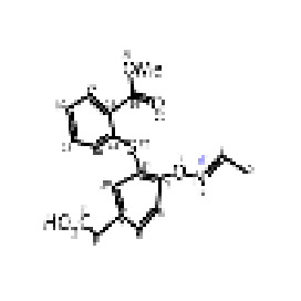 C/C=N/Oc1ccc(CC(=O)O)cc1Sc1ccccc1C(=O)OC